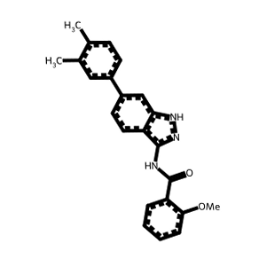 COc1ccccc1C(=O)Nc1n[nH]c2cc(-c3ccc(C)c(C)c3)ccc12